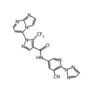 N#Cc1cc(NC(=O)c2cnn(-c3ccnc4nccn34)c2C(F)(F)F)cnc1-n1nccn1